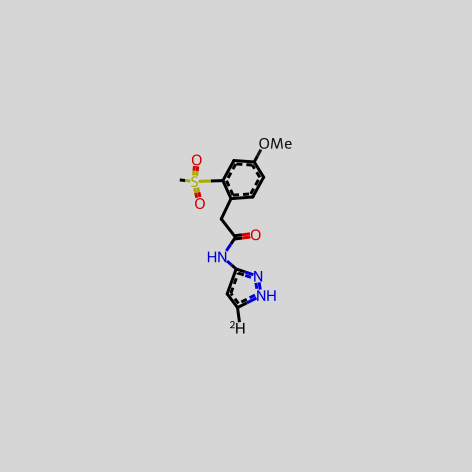 [2H]c1cc(NC(=O)Cc2ccc(OC)cc2S(C)(=O)=O)n[nH]1